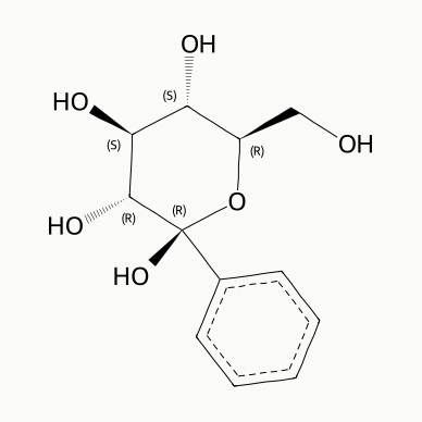 OC[C@H]1O[C@](O)(c2ccccc2)[C@H](O)[C@@H](O)[C@@H]1O